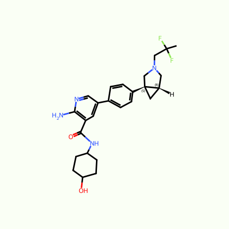 CC(F)(F)CN1C[C@@H]2C[C@]2(c2ccc(-c3cnc(N)c(C(=O)NC4CCC(O)CC4)c3)cc2)C1